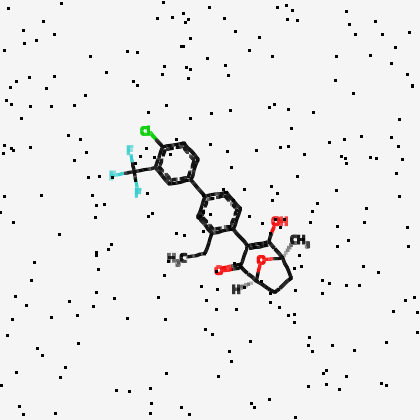 CCc1cc(-c2ccc(Cl)c(C(F)(F)F)c2)ccc1C1=C(O)[C@@]2(C)CC[C@H](O2)C1=O